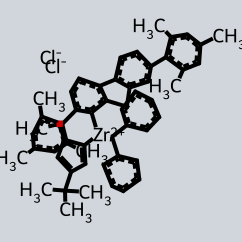 CCC1C=C(C(C)(C)C)C=[C]1[Zr+2](=[C](c1ccccc1)c1ccccc1)[c]1c(-c2c(C)cc(C)cc2C)ccc2c1Cc1cc(-c3c(C)cc(C)cc3C)ccc1-2.[Cl-].[Cl-]